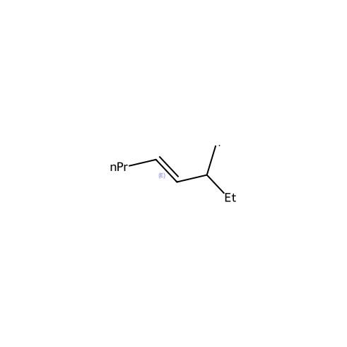 [CH2]C(/C=C/CCC)CC